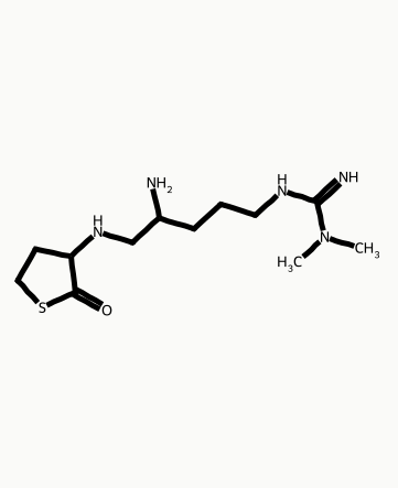 CN(C)C(=N)NCCCC(N)CNC1CCSC1=O